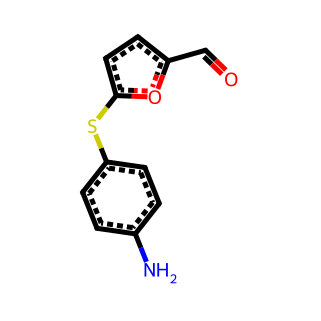 Nc1ccc(Sc2ccc(C=O)o2)cc1